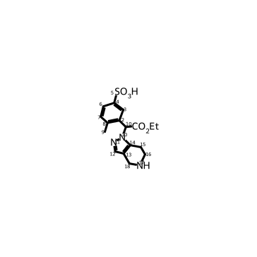 CCOC(=O)C(c1cc(S(=O)(=O)O)ccc1C)n1ncc2c1CCNC2